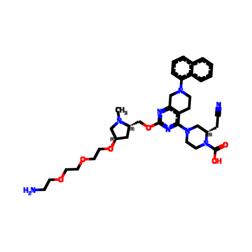 CN1C[C@H](OCCOCCOCCN)C[C@H]1COc1nc2c(c(N3CCN(C(=O)O)[C@@H](CC#N)C3)n1)CCN(c1cccc3ccccc13)C2